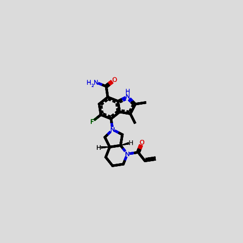 C=CC(=O)N1CCC[C@@H]2CN(c3c(F)cc(C(N)=O)c4[nH]c(C)c(C)c34)C[C@@H]21